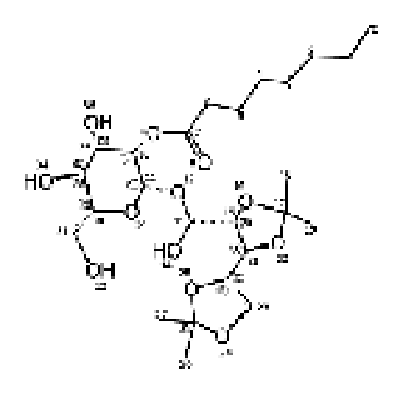 CCCCCCCC(=O)O[C@@H]1[C@H](OC(O)[C@@H]2OC(C)(C)O[C@H]2[C@@H]2COC(C)(C)O2)O[C@H](CO)[C@@H](O)[C@@H]1O